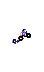 OC1(c2ccc(CN3CCCC3)cc2)Cc2ccccc2C2=NCCN21